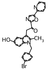 Cc1c(CC(=O)c2ncc(-c3ccccn3)o2)c2cc(O)ccc2n1Cc1ccc(Br)cc1